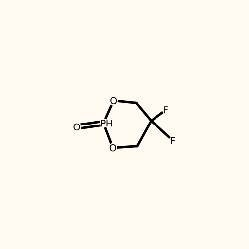 O=[PH]1OCC(F)(F)CO1